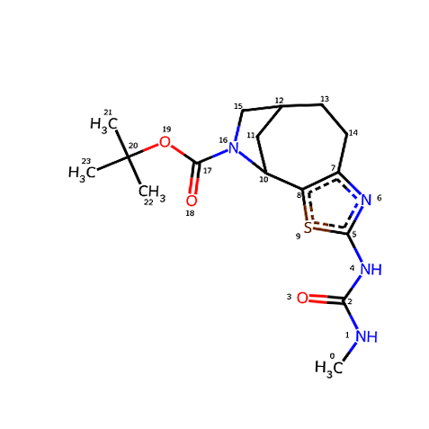 CNC(=O)Nc1nc2c(s1)C1CC(CC2)CN1C(=O)OC(C)(C)C